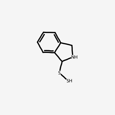 SSC1NCc2ccccc21